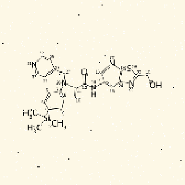 C[Si](C)(C)c1ccc2c(c1)cc(C(=O)Nc1cnc3sc(CO)nc3c1)n2Cc1ccncc1